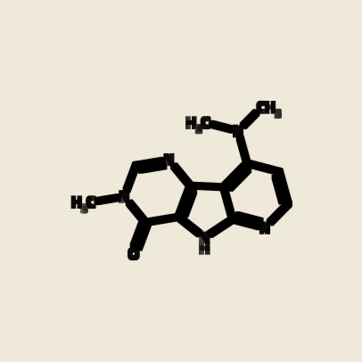 CN(C)c1ccnc2[nH]c3c(=O)n(C)cnc3c12